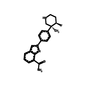 C[C@]1(c2ccc(-n3cc4cccc(C(N)=O)c4n3)cc2)CNCC[C@H]1F